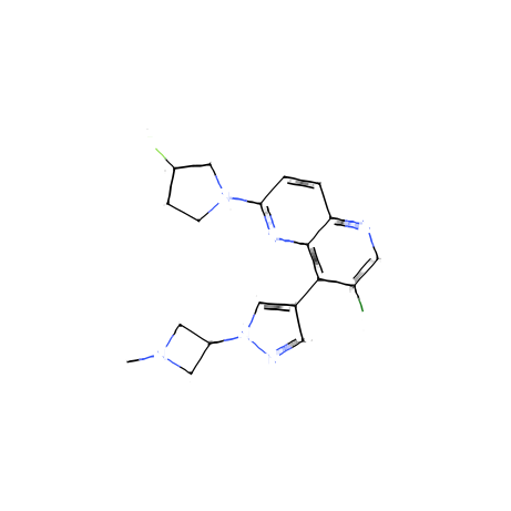 CN1CC(n2cc(-c3c(Cl)cnc4ccc(N5CCC(F)C5)nc34)cn2)C1